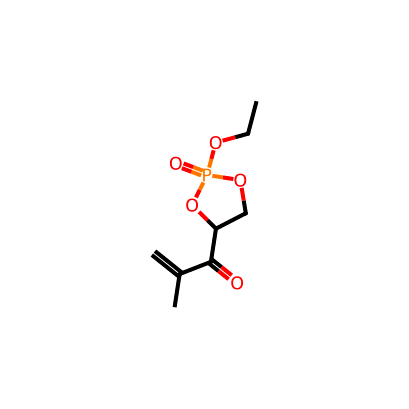 C=C(C)C(=O)C1COP(=O)(OCC)O1